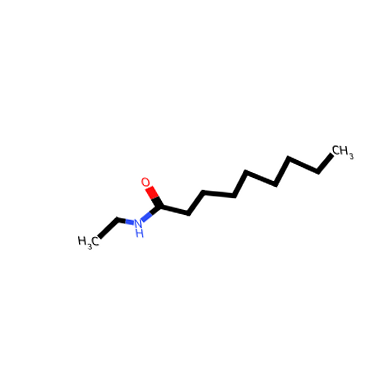 C[CH]NC(=O)CCCCCCCC